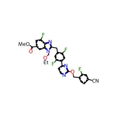 CCOCn1c(Cc2cc(F)c(-c3ccnc(OCc4ccc(C#N)cc4F)n3)cc2F)nc2c(F)cc(C(=O)OC)cc21